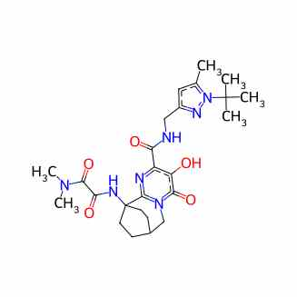 Cc1cc(CNC(=O)c2nc3n(c(=O)c2O)CC2CCC3(NC(=O)C(=O)N(C)C)CC2)nn1C(C)(C)C